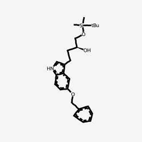 CC(C)(C)[Si](C)(C)OC[C@@H](O)CCc1c[nH]c2ccc(OCc3ccccc3)cc12